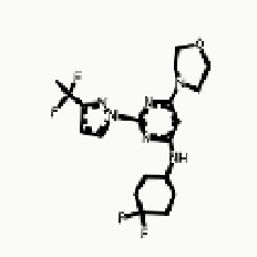 CC(F)(F)c1ccn(-c2nc(NC3CCC(F)(F)CC3)cc(N3CCOCC3)n2)n1